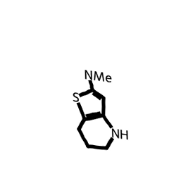 CNc1cc2c(s1)CCCN2